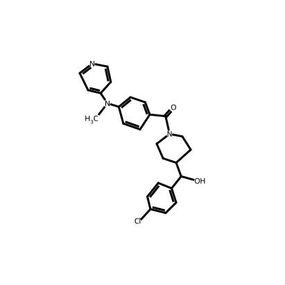 CN(c1ccncc1)c1ccc(C(=O)N2CCC(C(O)c3ccc(Cl)cc3)CC2)cc1